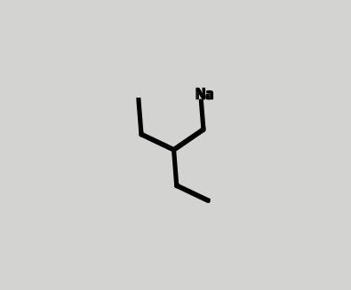 CCC(CC)[CH2][Na]